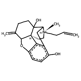 C=CC[N@+]1(C)CC[C@@]23c4c5ccc(O)c4CC1C2(O)CCC(=C)C3O5